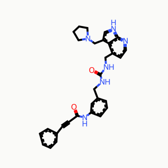 O=C(C#Cc1ccccc1)Nc1cccc(CNC(=O)NCc2ccnc3[nH]cc(CN4CCCC4)c23)c1